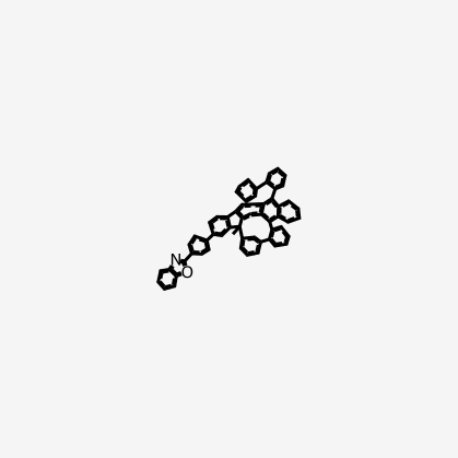 CC12c3cccc(c3)-c3ccccc3-c3c4ccccc4c(-c4ccccc4-c4ccccc4)c4cc(c1cc34)-c1ccc(-c3ccc(-c4nc5ccccc5o4)cc3)cc12